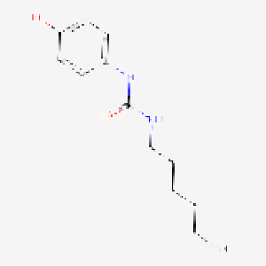 CCCCCCCCCCCCCCNC(=O)Nc1ccc(O)cc1